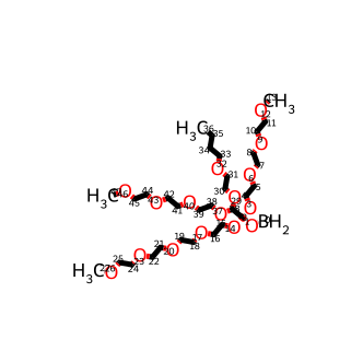 BOC(OCCOCCOCCOC)(OCCOCCOCCOCCOC)C(OCCOCCCC)OCCOCCOCCOC